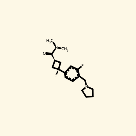 CN(C)C(=O)[C@H]1C[C@](F)(c2ccc(CN3CCCC3)c(F)c2)C1